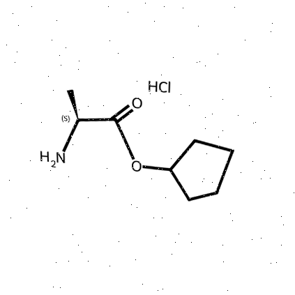 C[C@H](N)C(=O)OC1CCCC1.Cl